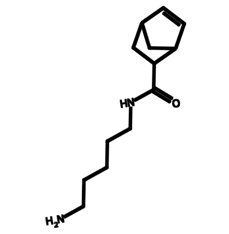 NCCCCCNC(=O)C1CC2C=CC1C2